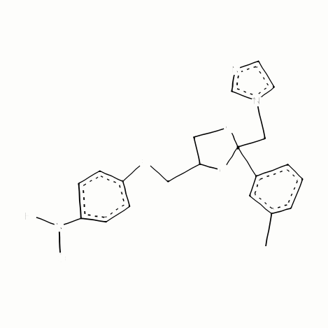 CCN(C(=O)O)c1ccc(OCC2COC(Cn3ccnc3)(c3cccc(C)c3)O2)cc1